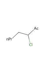 CCCCC(Cl)C(C)=O